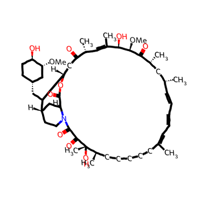 CO[C@@H]1C[C@H](CC2[C@H]3CCN4C(=O)C(=O)[C@@](C)(O)[C@H](C)CCCCC/C(C)=C/C=C/C=C/[C@@H](C)C[C@@H](C)C(=O)[C@H](OC)[C@H](O)/C(C)=C/[C@@H](C)C(=O)C[C@@H]2OC(=O)[C@@H]4C3)CC[C@H]1O